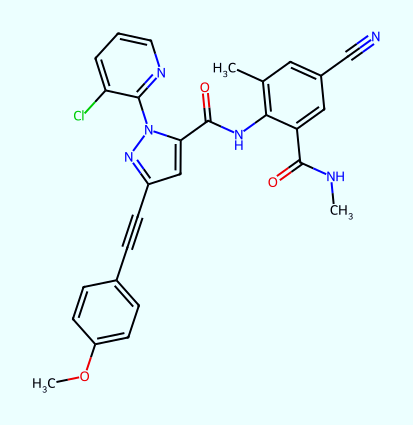 CNC(=O)c1cc(C#N)cc(C)c1NC(=O)c1cc(C#Cc2ccc(OC)cc2)nn1-c1ncccc1Cl